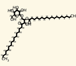 CCCCCCCCCCCCCCCCCC(=O)OC(COC1O[C@@H](CO)[C@H](O)[C@@H](O)[C@@H]1O)C(O)C(=O)CCCCCCCCCCCCCCC